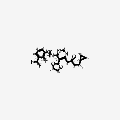 C[C@H](CC(=O)Cc1ncnc(NOc2cccc(C(F)F)c2F)c1C1OCCO1)C1CC1